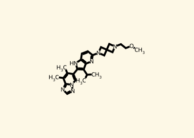 COCCN1CC2(C1)CN(c1ccc3[nH]c(-c4cn5ncnc5c(C)c4C)c(C(C)C)c3n1)C2